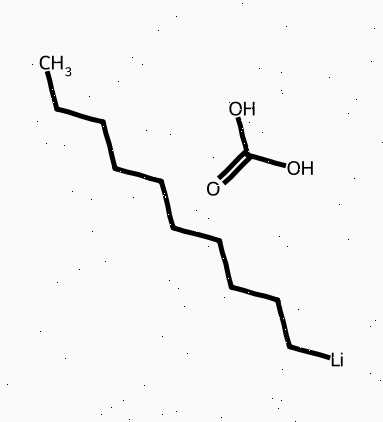 O=C(O)O.[Li][CH2]CCCCCCCCC